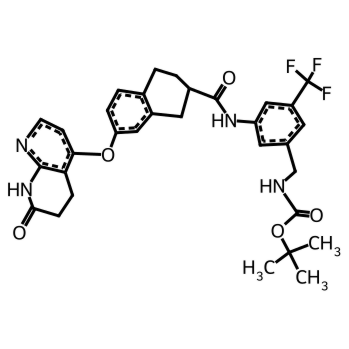 CC(C)(C)OC(=O)NCc1cc(NC(=O)C2CCc3ccc(Oc4ccnc5c4CCC(=O)N5)cc3C2)cc(C(F)(F)F)c1